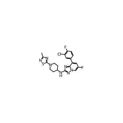 Cc1nsc(N2CCC(Nc3nc4c(-c5ccc(F)c(Cl)c5)cc(F)cn4n3)CC2)n1